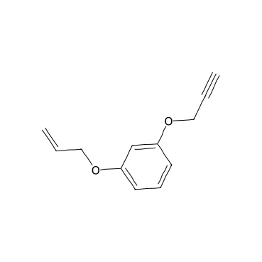 C#CCOc1cccc(OCC=C)c1